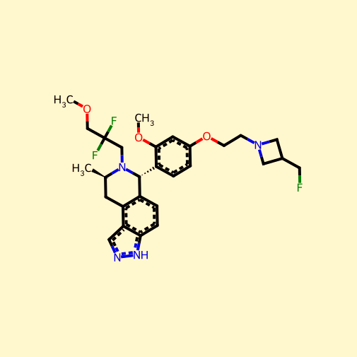 COCC(F)(F)CN1[C@H](c2ccc(OCCN3CC(CF)C3)cc2OC)c2ccc3[nH]ncc3c2C[C@H]1C